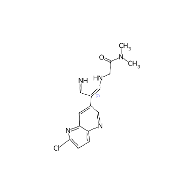 CN(C)C(=O)CN/C=C(\C=N)c1cnc2ccc(Cl)nc2c1